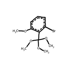 COc1cccc(Br)c1C(OC)(OC)OC